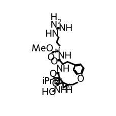 COC(=O)[C@H](CCCNC(=N)N)NC(=O)C1Cc2ccc(cc2)OCC[C@H]2CC2(C(=O)NO)[C@@H](CC(C)C)C(=O)N1